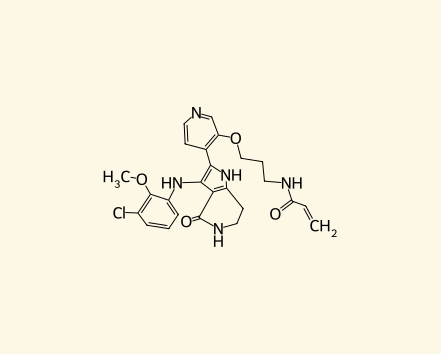 C=CC(=O)NCCCOc1cnccc1-c1[nH]c2c(c1Nc1cccc(Cl)c1OC)C(=O)NCC2